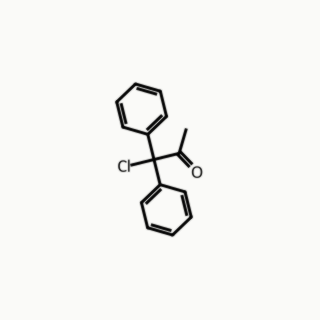 CC(=O)C(Cl)(c1ccccc1)c1ccccc1